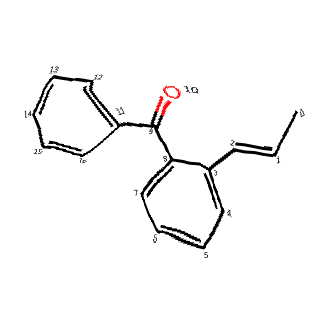 [CH2]/C=C/c1ccccc1C(=O)c1ccccc1